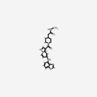 CNC(=O)CC1CCN(C(=O)c2cnn3ccc(Nc4cccc5ocnc45)cc23)CC1